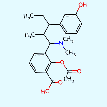 CCC(c1cccc(O)c1)C(C)C(c1cccc(C(=O)O)c1OC(C)=O)N(C)C